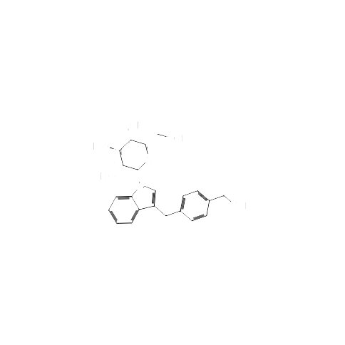 CCc1ccc(Cc2cn([C@H]3S[C@@H](CO)[C@@H](O)[C@H](O)[C@H]3O)c3ccccc23)cc1